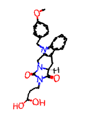 COc1ccc(Cn2c3c(c4ccccc42)C[C@H]2C(=O)N(CCC(O)O)C(=O)N2C3)cc1